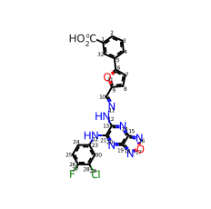 O=C(O)c1cccc(-c2ccc(C=NNc3nc4nonc4nc3Nc3ccc(F)c(Cl)c3)o2)c1